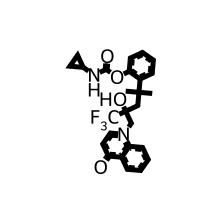 CC(C)(CC(O)(Cn1ccc(=O)c2ccccc21)C(F)(F)F)c1ccccc1OC(=O)NC1CC1